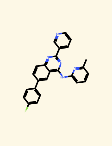 Cc1cccc(Nc2nc(-c3cccnc3)nc3ccc(-c4ccc(F)cc4)cc23)n1